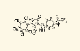 O=C1NC(c2c(Cl)c(Cl)c(Cl)c(Cl)c2Cl)=C2C(=O)NC(c3ccc(C(F)(F)C(F)(F)F)cc3)=C12